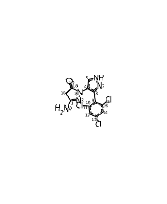 NC1=NN(c2c[nH]nc2-c2c(Cl)cc(Cl)cc2Cl)C(=O)C1